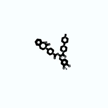 CN1CCC(N2CCN(C(=O)[C@@H](Cc3ccc(Cl)c(C(F)(F)F)c3)OC(=O)N3CCC(N4CCc5ccccc5NC4=O)CC3)CC2)CC1